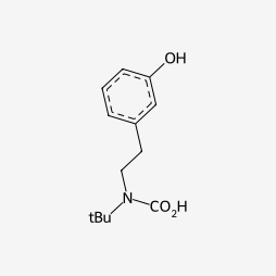 CC(C)(C)N(CCc1cccc(O)c1)C(=O)O